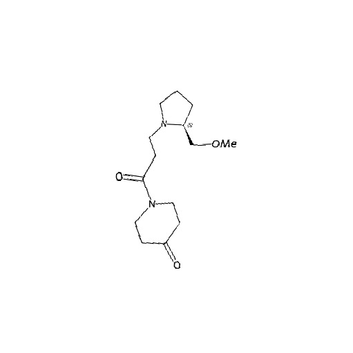 COC[C@@H]1CCCN1CCC(=O)N1CCC(=O)CC1